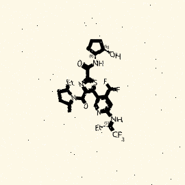 CCC1CCC(C)N1C(=O)c1nc(C(=O)N[C@@H]2CCC[C@H]2O)sc1-c1cnc(N[C@@H](CC)C(F)(F)F)cc1C(F)F